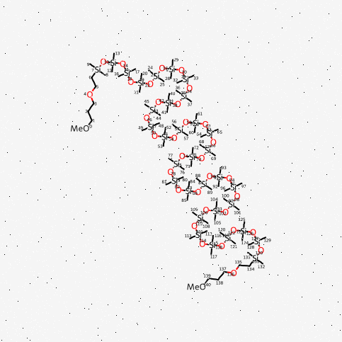 COCCCOCC[Si](C)(C)O[Si](C)(C)O[Si](C)(C)O[Si](C)(C)O[Si](C)(C)O[Si](C)(C)O[Si](C)(C)O[Si](C)(C)O[Si](C)(C)O[Si](C)(C)O[Si](C)(C)O[Si](C)(C)O[Si](C)(C)O[Si](C)(C)O[Si](C)(C)O[Si](C)(C)O[Si](C)(C)O[Si](C)(C)O[Si](C)(C)O[Si](C)(C)O[Si](C)(C)O[Si](C)(C)O[Si](C)(C)O[Si](C)(C)O[Si](C)(C)O[Si](C)(C)O[Si](C)(C)O[Si](C)(C)O[Si](C)(C)O[Si](C)(C)O[Si](C)(C)O[Si](C)(C)CCOCCCOC